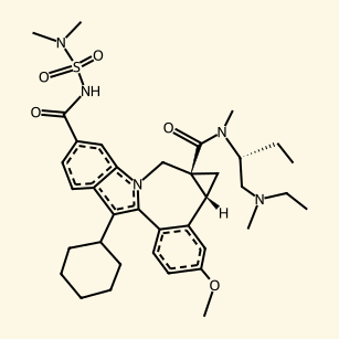 CC[C@H](CN(C)CC)N(C)C(=O)[C@@]12C[C@@H]1c1cc(OC)ccc1-c1c(C3CCCCC3)c3ccc(C(=O)NS(=O)(=O)N(C)C)cc3n1C2